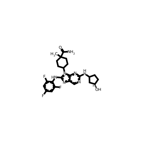 CC1(C(N)=O)CCC(n2c(Nc3c(F)cc(F)cc3F)nc3cnc(NC4CC[C@@H](O)C4)nc32)CC1